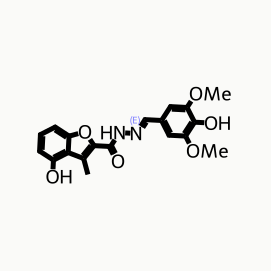 COc1cc(/C=N/NC(=O)c2oc3cccc(O)c3c2C)cc(OC)c1O